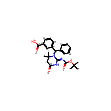 CC(C)(C)OC(=O)N=C1NC(=O)CC(C)(C)N1C(c1ccccc1)c1cccc(C(=O)O)c1